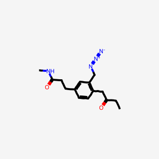 CCC(=O)Cc1ccc(CCC(=O)NC)cc1CN=[N+]=[N-]